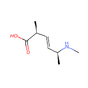 CN[C@@H](C)/C=C/[C@H](C)C(=O)O